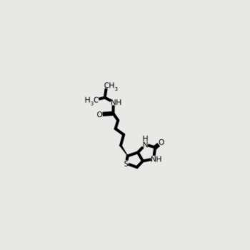 CC(C)NC(=O)CCCC[C@@H]1SCC2NC(=O)NC21